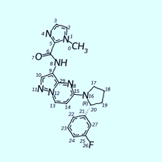 Cn1ccnc1C(=O)Nc1cnn2ccc(N3CCC[C@@H]3c3cccc(F)c3)nc12